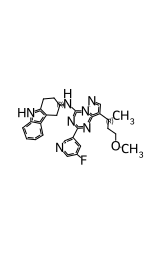 COCC[C@@H](C)c1cnn2c(N[C@@H]3CCc4[nH]c5ccccc5c4C3)nc(-c3cncc(F)c3)nc12